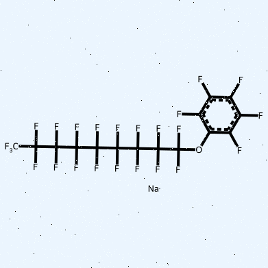 Fc1c(F)c(F)c(OC(F)(F)C(F)(F)C(F)(F)C(F)(F)C(F)(F)C(F)(F)C(F)(F)C(F)(F)C(F)(F)F)c(F)c1F.[Na]